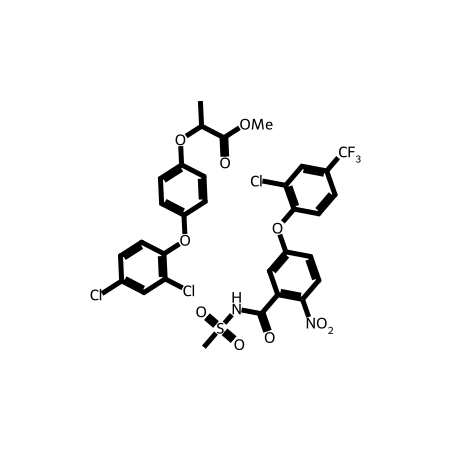 COC(=O)C(C)Oc1ccc(Oc2ccc(Cl)cc2Cl)cc1.CS(=O)(=O)NC(=O)c1cc(Oc2ccc(C(F)(F)F)cc2Cl)ccc1[N+](=O)[O-]